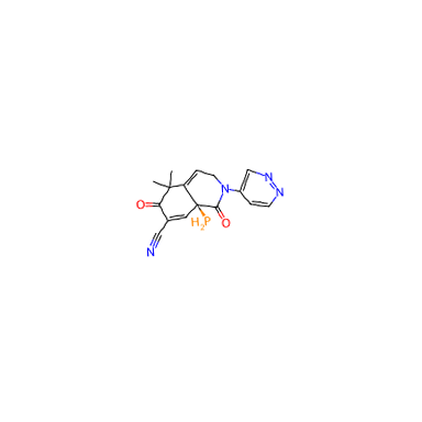 CC1(C)C(=O)C(C#N)=C[C@@]2(P)C(=O)N(c3ccnnc3)CC=C12